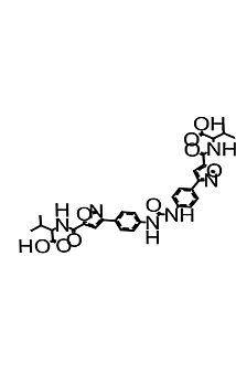 CC(C)C(NC(=O)c1cc(-c2ccc(NC(=O)Nc3ccc(-c4cc(C(=O)NC(C(=O)O)C(C)C)on4)cc3)cc2)no1)C(=O)O